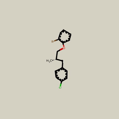 C[C@H](COc1ccccc1Br)Cc1ccc(Cl)cc1